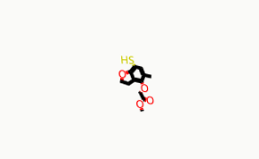 COC(=O)COc1c(C)cc(S)c2c1CCO2